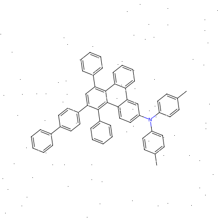 Cc1ccc(N(c2ccc(C)cc2)c2ccc3c(c2)c2ccccc2c2c(-c4ccccc4)cc(-c4ccc(-c5ccccc5)cc4)c(-c4ccccc4)c32)cc1